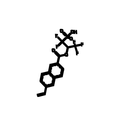 C=Cc1ccc2cc(C(=O)OC(C(F)(F)F)C(F)(F)S(=O)(=O)O)ccc2c1